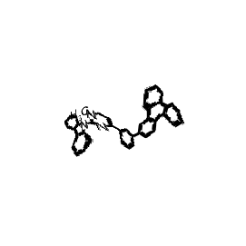 CN1CC=C(c2cccc(-c3ccc4c5ccccc5c5ccccc5c4c3)c2)N=C1n1c2ccccc2c2ccccc21